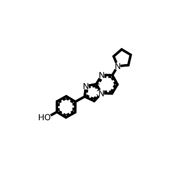 Oc1ccc(-c2cn3ccc(N4CCCC4)nc3n2)cc1